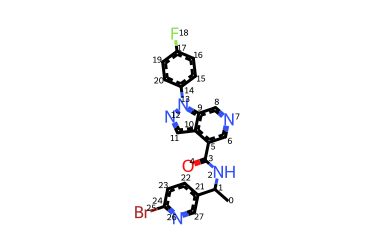 CC(NC(=O)c1cncc2c1cnn2-c1ccc(F)cc1)c1ccc(Br)nc1